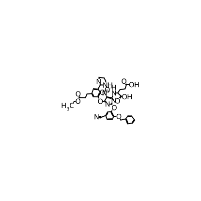 CCOC(=O)CCc1cc(Oc2nc(Oc3cc(C#N)ccc3OCc3ccccc3)nc(NC(CCC(=O)O)C(=O)O)c2[N+](=O)[O-])cc(C2N=CCCN2)c1